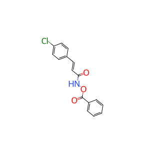 O=C(C=Cc1ccc(Cl)cc1)NOC(=O)c1ccccc1